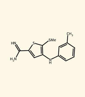 CSc1sc(C(=N)N)cc1Nc1cccc(C)c1